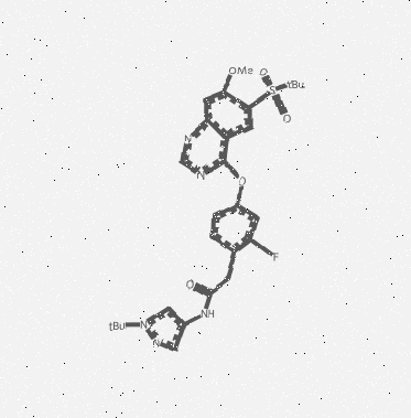 COc1cc2ncnc(Oc3ccc(CC(=O)Nc4cnn(C(C)(C)C)c4)c(F)c3)c2cc1S(=O)(=O)C(C)(C)C